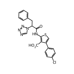 O=C(O)c1c(-c2ccc(Cl)cc2)csc1NC(=O)C(Cc1ccccc1)n1cnnn1